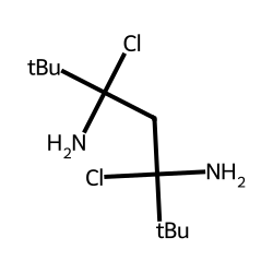 CC(C)(C)C(N)(Cl)CC(N)(Cl)C(C)(C)C